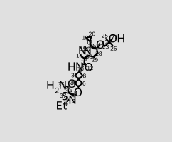 CCc1nc(O[C@H]2CC3(C[C@H](NC(=O)c4cnn5c(C6CC6)c(OCC(C)(C)O)ccc45)C3)C2)c(C(N)=O)s1